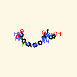 C=CCn1c(=O)c2cnc(Nc3ccc(N4CCN(CC5CCN(c6ccc(N[C@@H]7CCC(=O)NC7=O)cc6F)CC5)CC4)cc3)nc2n1-c1ccc2c(n1)[C@@](C)(O)CC2